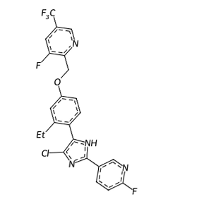 CCc1cc(OCc2ncc(C(F)(F)F)cc2F)ccc1-c1[nH]c(-c2ccc(F)nc2)nc1Cl